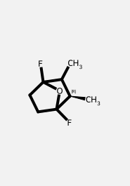 CC1[C@@H](C)C2(F)CCC1(F)O2